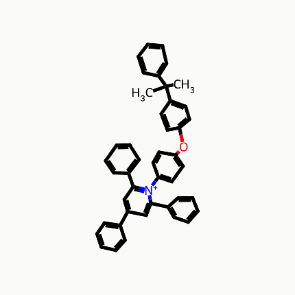 CC(C)(c1ccccc1)c1ccc(Oc2ccc(-[n+]3c(-c4ccccc4)cc(-c4ccccc4)cc3-c3ccccc3)cc2)cc1